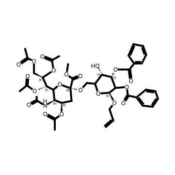 C=CCO[C@H]1OC(CO[C@]2(C(=O)OC)C[C@@H](OC(C)=O)[C@@H](NC(C)=O)C([C@H](OC(C)=O)[C@@H](COC(C)=O)OC(C)=O)O2)[C@H](O)[C@H](OC(=O)c2ccccc2)C1OC(=O)c1ccccc1